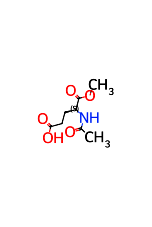 COC(=O)[C@H](CCC(=O)O)NC(C)=O